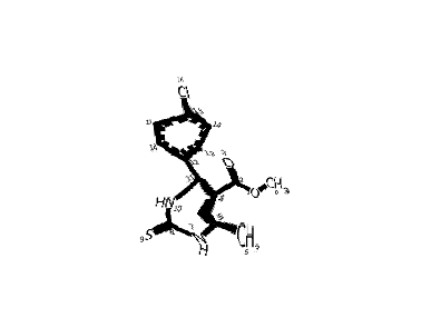 COC(=O)C1=C(C)NC(=S)NC1c1ccc(Cl)cc1